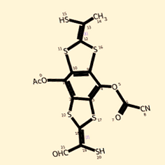 CC(=O)Oc1c2c(c(OC(=O)C#N)c3c1S/C(=C(/C)S)S3)S/C(=C(\S)C=O)S2